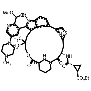 CCOC(=O)[C@@H]1C[C@H]1C(=O)N[C@H]1Cc2nc(cs2)-c2ccc3c(c2)c(c(-c2cc(N4CCN(C)CC4)cnc2[C@H](C)OC)n3CC)CC(C)(C)COC(=O)[C@@H]2CCCN(N2)C1=O